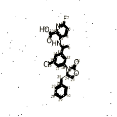 CC(Nc1ccc(F)nc1C(=O)O)c1cc(Cl)cc(N2C(=O)OC[C@@H]2Cc2ccccc2)c1